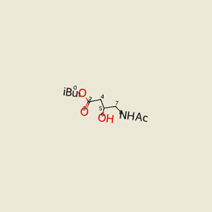 CCC(C)OC(=O)CC(O)CNC(C)=O